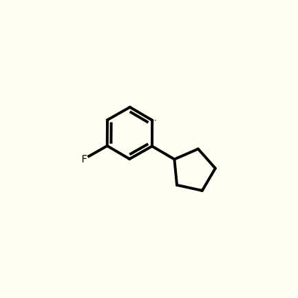 Fc1cc[c]c(C2CCCC2)c1